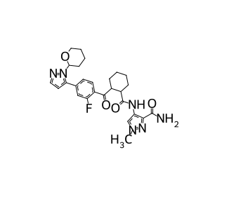 Cn1cc(NC(=O)C2CCCCC2C(=O)c2ccc(-c3ccnn3C3CCCCO3)cc2F)c(C(N)=O)n1